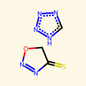 S=C1CON=N1.c1nnn[nH]1